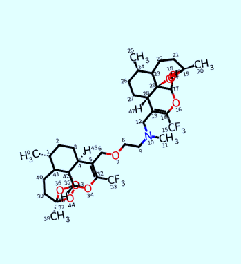 C[C@@H]1CC[C@H]2C(COCCN(C)CC3=C(C(F)(F)F)O[C@@H]4O[C@]5(C)CCC6[C@H](C)CC[C@@H]3[C@]64OO5)=C(C(F)(F)F)O[C@@H]3O[C@]4(C)CCC1[C@]32OO4